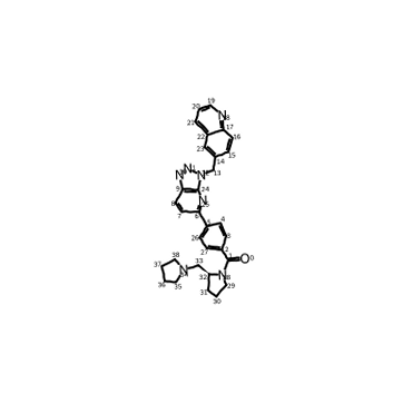 O=C(c1ccc(-c2ccc3nnn(Cc4ccc5ncccc5c4)c3n2)cc1)N1CCC[C@H]1CN1CCCC1